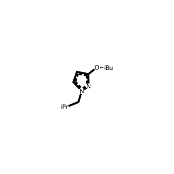 CC[C@@H](C)Oc1ccn(CC(C)C)n1